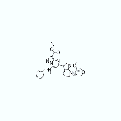 CCOC(=O)c1cnn2c(N(C)Cc3ccccc3)cc(-c3cnc4n([C@H]5CCOC[C@@H]5OC)cccc3-4)nc12